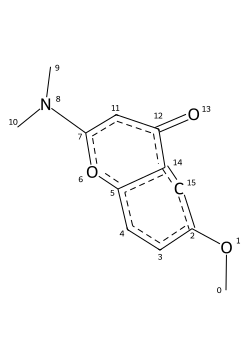 COc1ccc2oc(N(C)C)cc(=O)c2c1